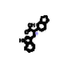 O=C(O)/C(=C\c1c[nH]c2ncccc12)c1ccc2c(c1)CCC2